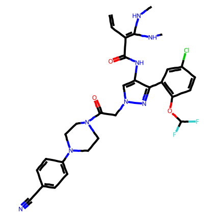 C=CC(C(=O)Nc1cn(CC(=O)N2CCN(c3ccc(C#N)cc3)CC2)nc1-c1cc(Cl)ccc1OC(F)F)=C(NC)NC